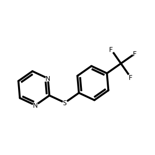 FC(F)(F)c1ccc(Sc2ncccn2)cc1